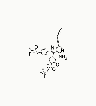 C=C(F)C(=O)Nc1ccc(-c2c(-c3ccc(C(=O)NCC(F)(F)F)c(OC)c3)c3c(N)ncc(C#CCOCC)c3n2C)cc1